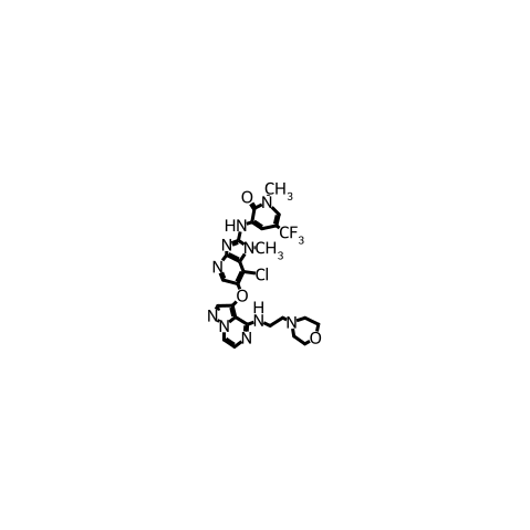 Cn1cc(C(F)(F)F)cc(Nc2nc3ncc(Oc4cnn5ccnc(NCCN6CCOCC6)c45)c(Cl)c3n2C)c1=O